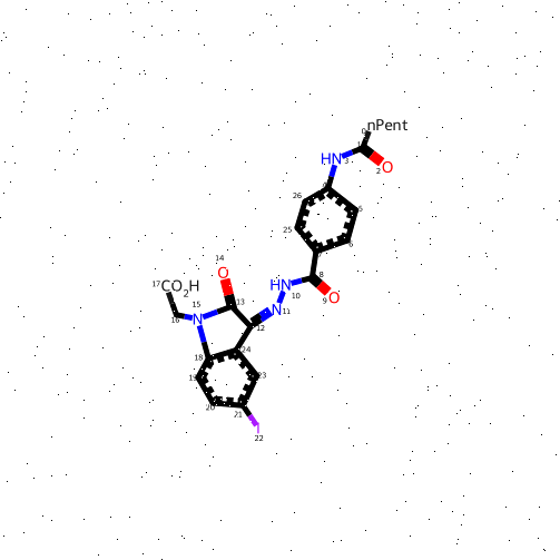 CCCCCC(=O)Nc1ccc(C(=O)NN=C2C(=O)N(CC(=O)O)c3ccc(I)cc32)cc1